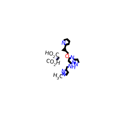 Cn1ccc(CNc2cc(OCC3CC3c3ccccn3)nc3ccnn23)n1.O=C(O)/C=C/C(=O)O